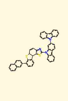 C1=CC2Sc3c(-c4ccc5ccccc5c4)cccc3C2c2sc(-n3c4ccccc4c4ccc(-n5c6ccccc6c6ccccc65)cc43)nc21